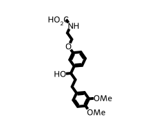 COc1ccc(CCC(O)c2cccc(OCCNC(=O)O)c2)cc1OC